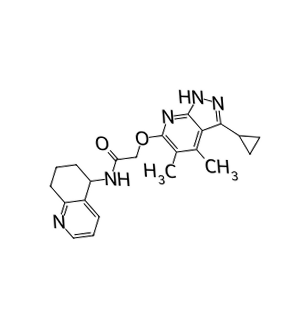 Cc1c(OCC(=O)NC2CCCc3ncccc32)nc2[nH]nc(C3CC3)c2c1C